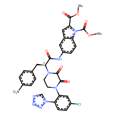 CC(C)(C)OC(=O)c1cc2cc(NC(=O)[C@H](Cc3ccc([N+](=O)[O-])cc3)N3CCN(c4cc(Cl)ccc4-n4cnnn4)C(=O)C3=O)ccc2n1C(=O)OC(C)(C)C